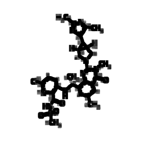 Cc1cc([C@@H](C)Nc2ccc(Cl)nc2C(=O)NS(C)(=O)=O)c2nc(N3C[C@@H]4C(c5nn(C)nc5C)[C@@H]4C3)n(C)c(=O)c2c1